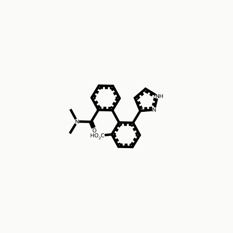 CN(C)C(=O)c1ccccc1-c1c(C(=O)O)cccc1-c1cc[nH]n1